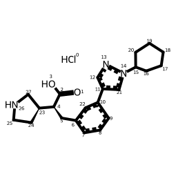 Cl.O=C(O)[C@@H](Cc1cccc(-c2cnn(C3CCCCC3)c2)c1)[C@H]1CCNC1